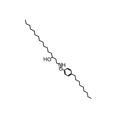 CCCCCCCCCCCCCC(O)CCNOc1ccc(CCCCCCCCC)cc1